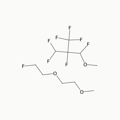 COC(F)C(F)(C(F)F)C(F)(F)F.COCCOCCF